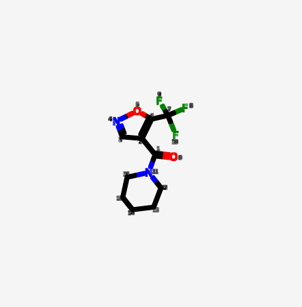 O=C(c1cnoc1C(F)(F)F)N1CCCCC1